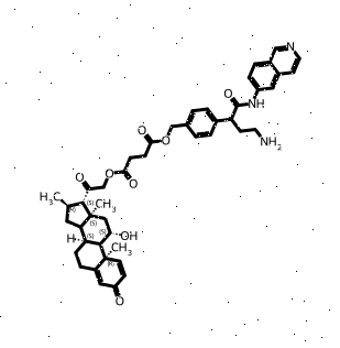 C[C@@H]1CC2[C@@H]3CCC4=CC(=O)C=C[C@]4(C)C3[C@@H](O)C[C@]2(C)[C@H]1C(=O)COC(=O)CCC(=O)OCc1ccc(C(CCN)C(=O)Nc2ccc3cnccc3c2)cc1